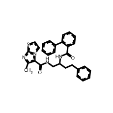 Cc1nc2sccn2c1C(=O)NCC(CCc1ccccc1)NC(=O)c1ccccc1-c1ccccc1